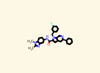 Cc1nc2cc(NC(=O)c3cc4cc(-c5ccccc5)ncc4n3Cc3cccc(F)c3)ccc2n1C